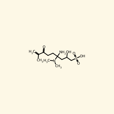 C=C(C)C(=O)CCC(N)(CC(O)CS(=O)(=O)O)N(C)C